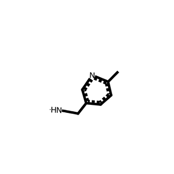 Cc1ccc(C[NH])cn1